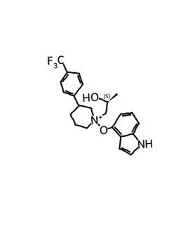 C[C@H](O)C[N+]1(Oc2cccc3[nH]ccc23)CCCC(c2ccc(C(F)(F)F)cc2)C1